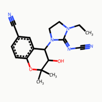 CCN1CCN(C2c3cc(C#N)ccc3OC(C)(C)C2O)C1=NC#N